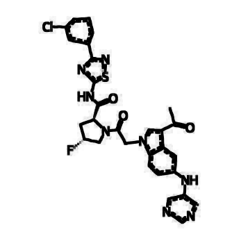 CC(=O)c1cn(CC(=O)N2C[C@H](F)C[C@H]2C(=O)Nc2nc(-c3cccc(Cl)c3)ns2)c2ccc(Nc3cncnc3)cc12